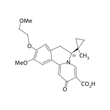 COCCOc1cc2c(cc1OC)-c1cc(=O)c(C(=O)O)cn1[C@H](C1(C)CC1)C2